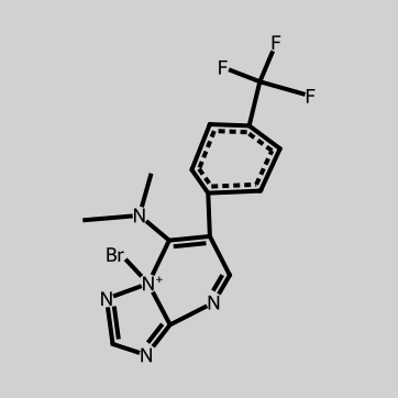 CN(C)C1=C(c2ccc(C(F)(F)F)cc2)C=NC2=NC=N[N+]21Br